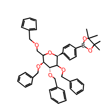 CC1(C)OB(c2ccc([C@@H]3OC(COCc4ccccc4)[C@H](OCc4ccccc4)[C@@H](OCc4ccccc4)C3OCc3ccccc3)cc2)OC1(C)C